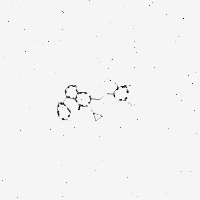 C[C@@H](Nc1nc(N)ncc1C#N)c1nc2cccc(-c3ccnnc3)c2c(=O)n1C1CC1